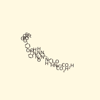 CCOP(=O)(OCC)OCc1ccc(OC(=O)c2ccccc2Nc2nc(=O)c3nc(CNc4ccc(C(=O)N[C@@H](CCC(=O)O)C(=O)O)cc4)cnc3[nH]2)cc1